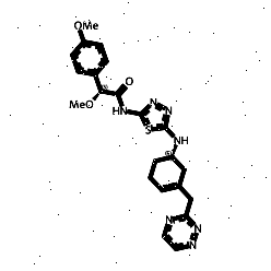 COc1ccc([C@H](OC)C(=O)Nc2nnc(N[C@@H]3CCC=C(Cc4nccnn4)C3)s2)cc1